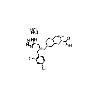 Cl.Cl.O=C(O)C1CC2CC(CN(Cc3nnn[nH]3)Cc3ccc(Cl)cc3Cl)CCC2CN1